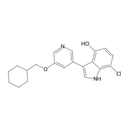 Oc1ccc(Cl)c2[nH]cc(-c3cncc(OCC4CCCCC4)c3)c12